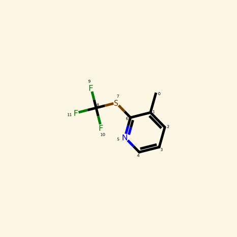 Cc1cccnc1SC(F)(F)F